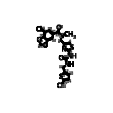 CN(Cc1csc(NC(=O)NCc2ccc(Cl)s2)n1)C(=O)c1cc(Cl)c2c(c1)OCO2